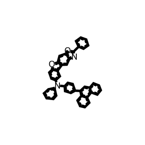 c1ccc(-c2nc3cc4c(cc3o2)oc2ccc(N(c3ccccc3)c3ccc(-c5cc6ccccc6c6ccccc56)cc3)cc24)cc1